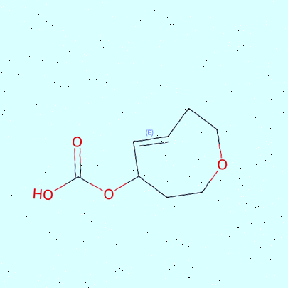 O=C(O)OC1/C=C/CCOCC1